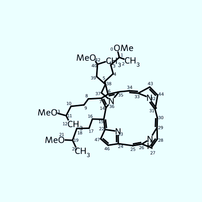 COC(C)CCCc1c(CCCC(C)OC)c2c(CCCC(C)OC)c3nc(cc4ccc(cc5nc(cc1n2CCCC(C)OC)C=C5)[nH]4)C=C3